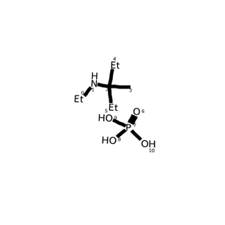 CCNC(C)(CC)CC.O=P(O)(O)O